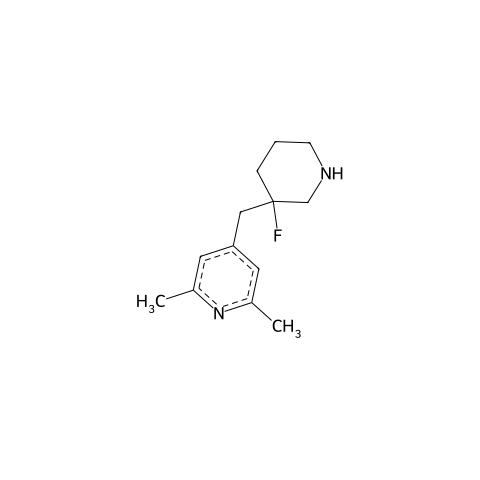 Cc1cc(CC2(F)CCCNC2)cc(C)n1